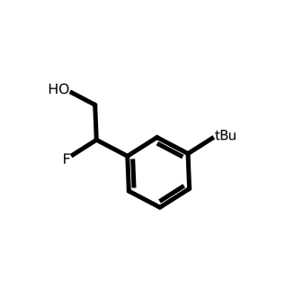 CC(C)(C)c1cccc(C(F)CO)c1